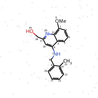 COc1cccc2c(NCc3ccccc3C)cc(CO)nc12